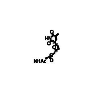 CC(=O)NCC(=O)OC[C@@H]1C=C[C@H](n2cc(C)c(=O)[nH]c2=O)O1